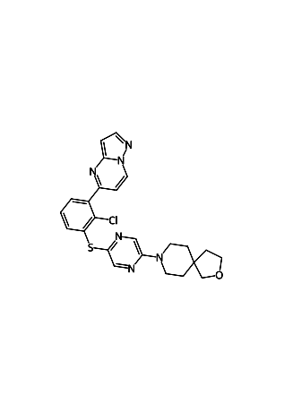 Clc1c(Sc2cnc(N3CCC4(CCOC4)CC3)cn2)cccc1-c1ccn2nccc2n1